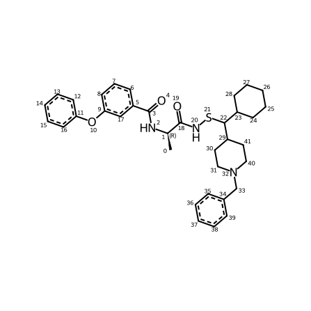 C[C@@H](NC(=O)c1cccc(Oc2ccccc2)c1)C(=O)NSC(C1CCCCC1)C1CCN(Cc2ccccc2)CC1